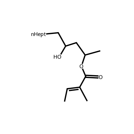 CC=C(C)C(=O)OC(C)CC(O)CCCCCCCC